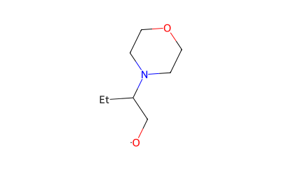 CCC(C[O])N1CCOCC1